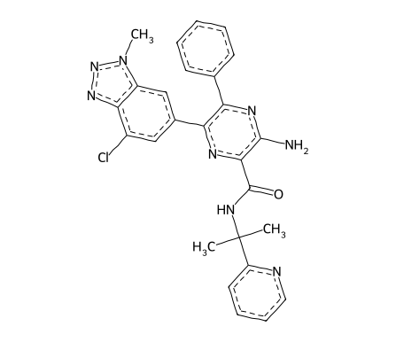 Cn1nnc2c(Cl)cc(-c3nc(C(=O)NC(C)(C)c4ccccn4)c(N)nc3-c3ccccc3)cc21